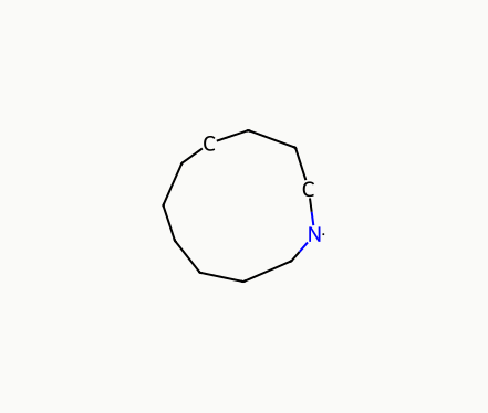 C1CCCCC[N]CCCC1